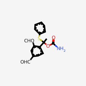 CC(OC(N)=O)(Sc1ccccc1)c1ccc(C=O)cc1C=O